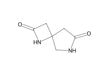 O=C1CC2(CN1)CC(=O)N2